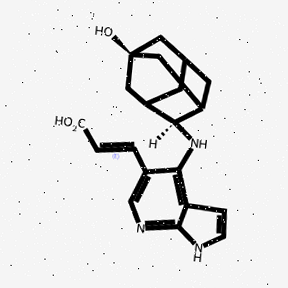 O=C(O)/C=C/c1cnc2[nH]ccc2c1N[C@H]1C2CC3CC1C[C@@](O)(C3)C2